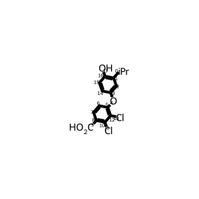 CC(C)c1cc(Oc2ccc(C(=O)O)c(Cl)c2Cl)ccc1O